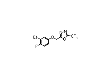 CCc1cc(OCc2nnc(C(F)(F)F)o2)ccc1F